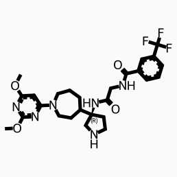 COc1cc(N2CCCC([C@]3(NC(=O)CNC(=O)c4cccc(C(F)(F)F)c4)CCNC3)CC2)nc(OC)n1